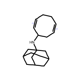 C1=C\CC(NC23CC4CC(CC(C4)C2)C3)/C=C\CC/1